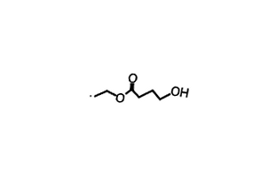 [CH2]COC(=O)CCCO